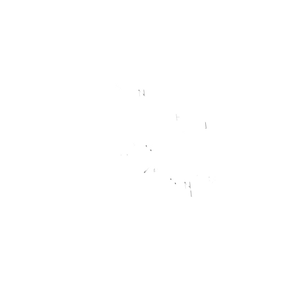 C[C@H](c1n[nH]c(=O)c2cc(F)c(F)cc12)N(C)C(=O)c1ccc2scnc2c1